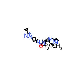 CC(C)(C)n1nccc1CN1CC2(C1)CN(C(=O)N1CC3(CC(n4cnc(C5CC5)n4)C3)C1)C2